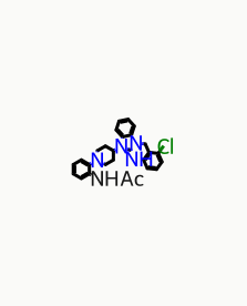 CC(=O)Nc1ccccc1N1CCC(n2c(=N)n(Cc3ccccc3Cl)c3ccccc32)CC1